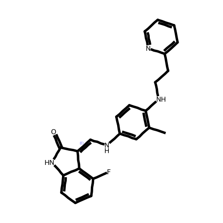 Cc1cc(N/C=C2/C(=O)Nc3cccc(F)c32)ccc1NCCc1ccccn1